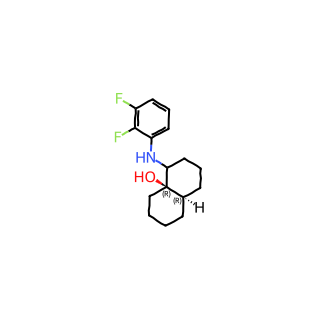 O[C@]12CCCC[C@@H]1CCCC2Nc1cccc(F)c1F